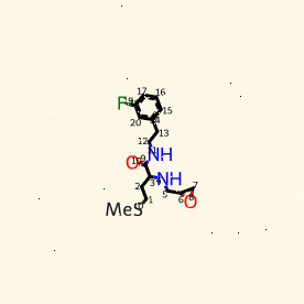 CSCCC(NCC1CO1)C(=O)NCCc1cccc(F)c1